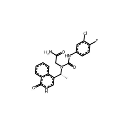 C[C@H](c1c[nH]c(=O)c2ccccc12)N(CC(N)=O)C(=O)Nc1ccc(F)c(Cl)c1